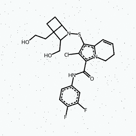 O=C(Nc1ccc(F)c(F)c1)c1c(Cl)c(SN2C(CO)C3(CCO)CCC23)c2n1CCC=C2